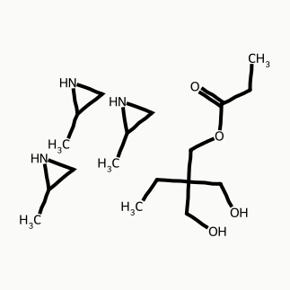 CC1CN1.CC1CN1.CC1CN1.CCC(=O)OCC(CC)(CO)CO